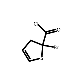 O=C(Cl)C1(Br)CC=CS1